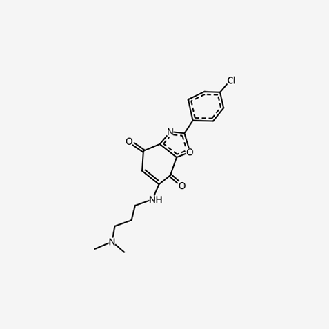 CN(C)CCCNC1=CC(=O)c2nc(-c3ccc(Cl)cc3)oc2C1=O